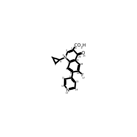 O=C(O)c1cn(C2CC2)c2cc(-c3ccncc3)c(F)cc2c1=O